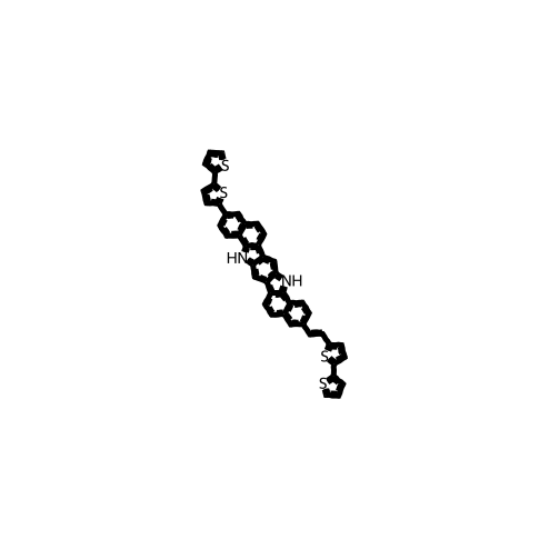 C(=C\c1ccc(-c2cccs2)s1)/c1ccc2c(ccc3c4cc5[nH]c6c7ccc(-c8ccc(-c9cccs9)s8)cc7ccc6c5cc4[nH]c23)c1